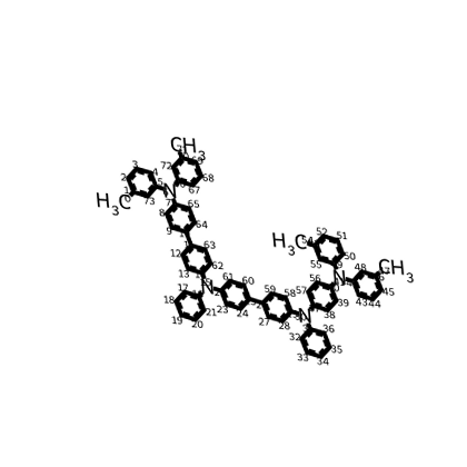 Cc1cccc(N(c2ccc(-c3ccc(N(c4ccccc4)c4ccc(-c5ccc(N(c6ccccc6)c6ccc(N(c7cccc(C)c7)c7cccc(C)c7)cc6)cc5)cc4)cc3)cc2)c2cccc(C)c2)c1